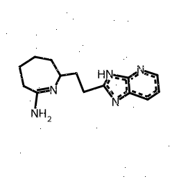 NC1=NC(CCc2nc3cccnc3[nH]2)CCCC1